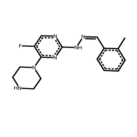 Cc1ccccc1/C=N\Nc1ncc(F)c(N2CCNCC2)n1